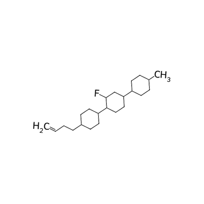 C=CCCC1CCC(C2CCC(C3CCC(C)CC3)CC2F)CC1